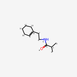 CC(C)C(=O)NCCC1=CCCCC1